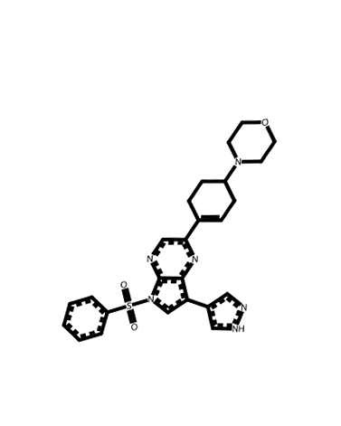 O=S(=O)(c1ccccc1)n1cc(-c2cn[nH]c2)c2nc(C3=CCC(N4CCOCC4)CC3)cnc21